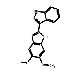 COc1cc2nc(-c3n[nH]c4ccccc34)[nH]c2cc1OC